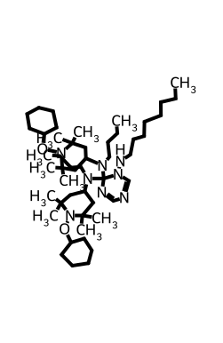 CCCCCCCCNN1C=NC=NC1(N(CCCC)C1CC(C)(C)N(OC2CCCCC2)C(C)(C)C1)N(CCCC)C1CC(C)(C)N(OC2CCCCC2)C(C)(C)C1